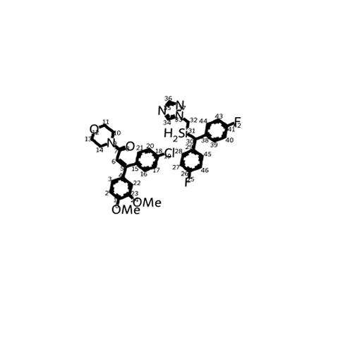 COc1ccc(/C(=C/C(=O)N2CCOCC2)c2ccc(Cl)cc2)cc1OC.Fc1ccc(C([SiH2]Cn2cncn2)c2ccc(F)cc2)cc1